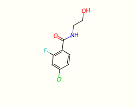 O=C(NCCO)c1ccc(Cl)cc1F